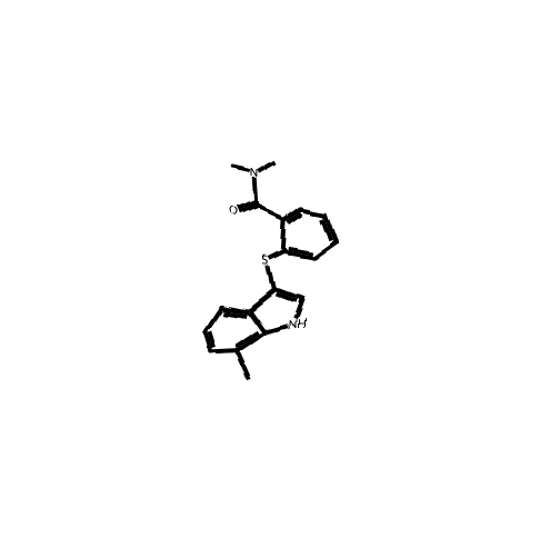 Cc1cccc2c(Sc3ccccc3C(=O)N(C)C)c[nH]c12